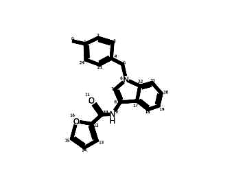 Cc1ccc(Cn2cc(NC(=O)c3ccco3)c3ccccc32)cc1